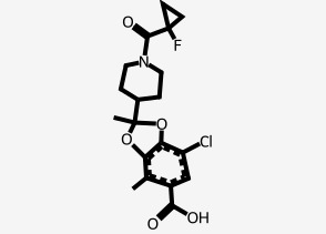 Cc1c(C(=O)O)cc(Cl)c2c1OC(C)(C1CCN(C(=O)C3(F)CC3)CC1)O2